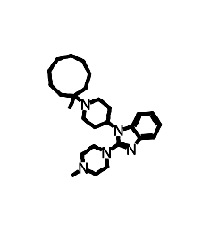 CN1CCN(c2nc3ccccc3n2C2CCN(C3(C)CCCCCCCC3)CC2)CC1